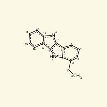 CCc1cccc2c1[nH]c1c2nc2ccccn21